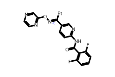 CC/C(=N\Oc1cnccn1)c1ccc(NC(=O)c2c(F)cccc2F)nc1